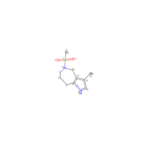 CCS(=O)(=O)N1CCCc2[nH]cc(C(C)C)c2C1